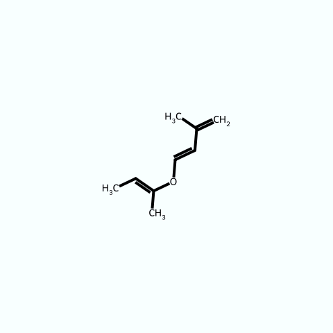 C=C(C)C=COC(C)=CC